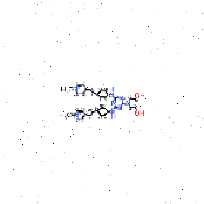 C[n+]1ccc(/C=C/c2ccc(Nc3nc(Nc4ccc(/C=C/c5cc[n+](C)cc5)cc4)nc(N(CCO)CCO)n3)cc2)cc1